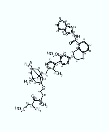 Cc1c(-c2ccc(N3CCc4cccc(C(=O)Nc5nc6ccccc6s5)c4C3)nc2C(=O)O)cnn1CC12CC3(C)CC(C)(C1)CC(OCCN(C)C(=O)C(N)CC(=O)O)(C3)C2